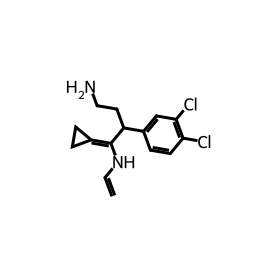 C=CNC(=C1CC1)C(CCN)c1ccc(Cl)c(Cl)c1